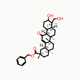 C[C@]1(C(=O)OCc2ccccc2)CC[C@]2(C)CC[C@]3(C)C(=CC(=O)[C@@H]4[C@@]5(C)CCC(O)[C@@](C)(CO)[C@@H]5CC[C@]43C)[C@@H]2C1